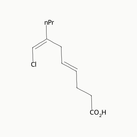 CCCC(=CCl)CC=CCCC(=O)O